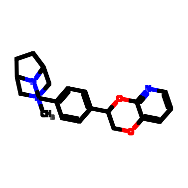 CN1CC2CCC(C1)N2Cc1ccc(C2COc3cccnc3O2)cc1